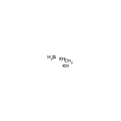 [BiH3].[CH3].[KH].[KH]